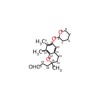 Cc1c(OC2CCCCO2)cc2c(c1C)OC(C)(CCC=O)CC2